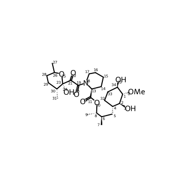 CO[C@@H]1[C@@H](O)[C@H](C[C@@H](C)[C@H](C)OC(=O)[C@@H]2CCCCN2C(=O)C(=O)[C@]2(O)OC(C)CC[C@H]2C)CC[C@H]1O